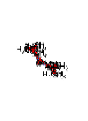 CC(C)(C)c1ccc(N(c2ccc(C(C)(C)C)cc2)c2ccc3c(c2)C(C)(C)c2cc(/C=C/c4ccc5c6ccc(/C=C/c7ccc8c(c7)C(C)(C)c7cc(N(c9ccc(C(C)(C)C)cc9)c9ccc(C(C)(C)C)cc9)ccc7-8)cc6c6ccccc6c5c4)ccc2-3)cc1